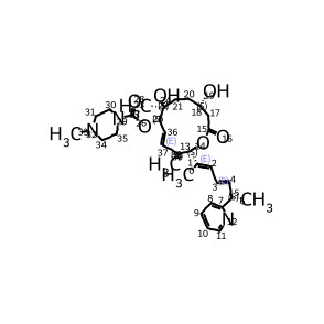 C/C(=C\C=C\[C@H](C)c1ccccn1)[C@H]1OC(=O)C[C@@H](O)CC[C@](C)(O)[C@@H](OC(=O)N2CCN(C)CC2)/C=C/[C@@H]1C